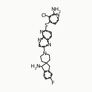 Nc1nccc(Sc2ccc3nc(N4CCC5(CC4)Cc4cc(F)ccc4[C@H]5N)cnc3n2)c1Cl